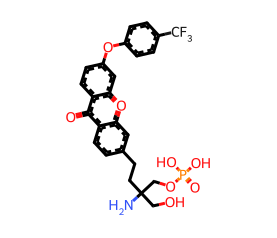 NC(CO)(CCc1ccc2c(=O)c3ccc(Oc4ccc(C(F)(F)F)cc4)cc3oc2c1)COP(=O)(O)O